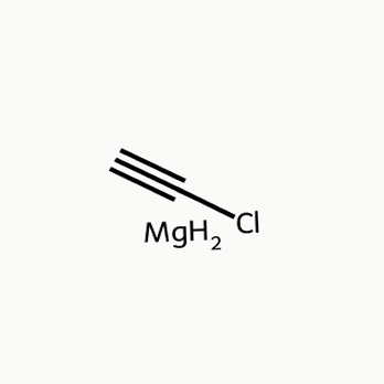 C#CCl.[MgH2]